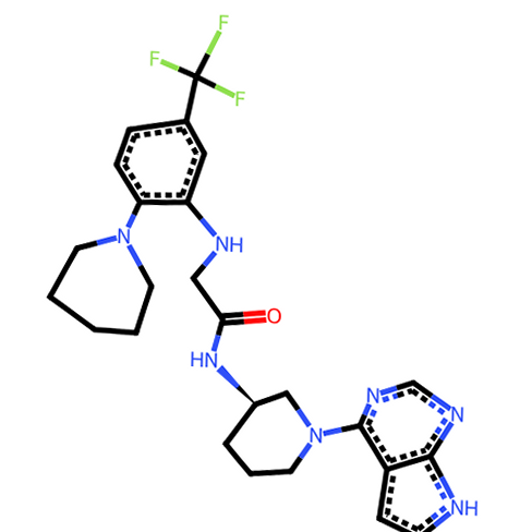 O=C(CNc1cc(C(F)(F)F)ccc1N1CCCCC1)N[C@@H]1CCCN(c2ncnc3[nH]ccc23)C1